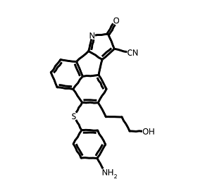 N#CC1=C2C(=NC1=O)c1cccc3c(Sc4ccc(N)cc4)c(CCCO)cc2c13